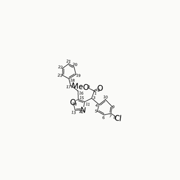 COC(=O)C(c1ccc(Cl)cc1)c1ncoc1CCc1ccccc1